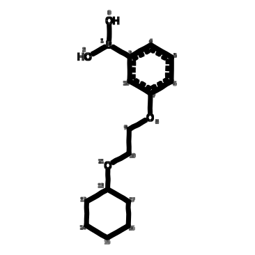 OB(O)c1cccc(OCCOC2CCCCC2)c1